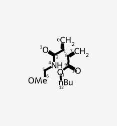 C=CC(=O)NCOC.C=CC(=O)OCCCC